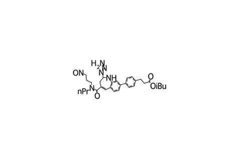 CCCN(CCCN=O)C(=O)C1=Cc2ccc(-c3ccc(CCC(=O)OCC(C)C)cc3)cc2NC(N=NN)C1